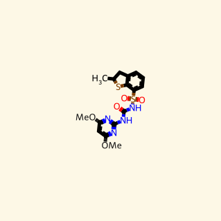 COc1cc(OC)nc(NC(=O)NS(=O)(=O)c2cccc3c2SC(C)C3)n1